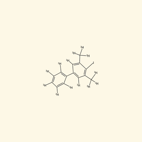 [2H]c1c([2H])c([2H])c(-c2c([2H])c(C([2H])([2H])[2H])c(I)c(C([2H])([2H])[2H])c2[2H])c([2H])c1[2H]